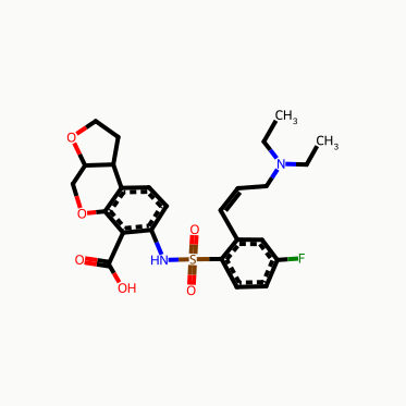 CCN(CC)C/C=C\c1cc(F)ccc1S(=O)(=O)Nc1ccc2c(c1C(=O)O)OCC1OCCC21